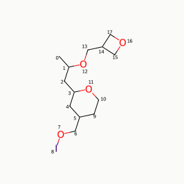 CC(CC1CC(COI)CCO1)OCC1COC1